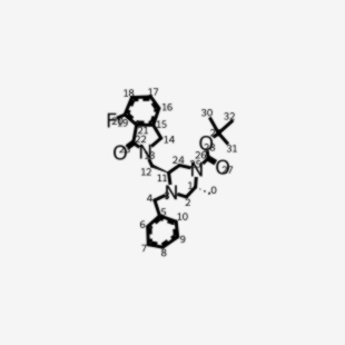 C[C@@H]1CN(Cc2ccccc2)[C@@H](CN2Cc3cccc(F)c3C2=O)CN1C(=O)OC(C)(C)C